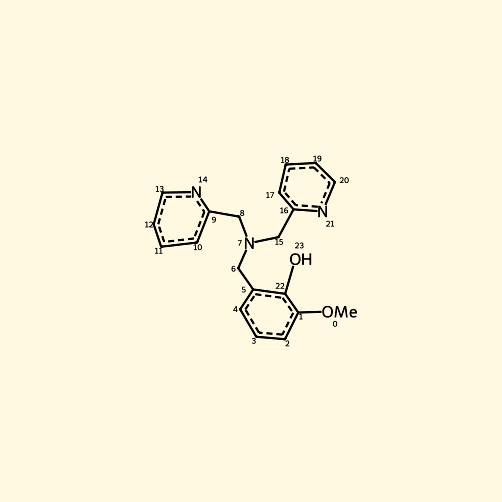 COc1cccc(CN(Cc2ccccn2)Cc2ccccn2)c1O